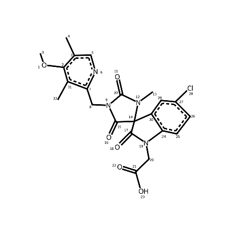 COc1c(C)cnc(CN2C(=O)N(C)C3(C2=O)C(=O)N(CC(=O)O)c2ccc(Cl)cc23)c1C